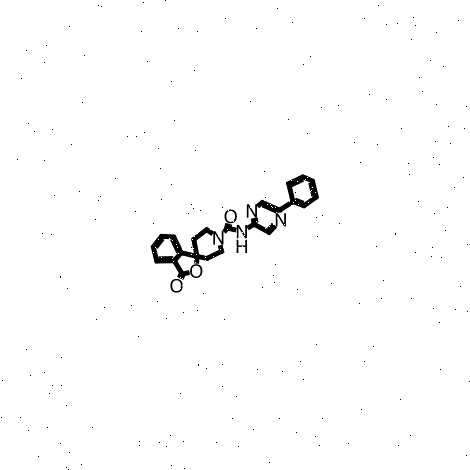 O=C1OC2(CCN(C(=O)Nc3cnc(-c4ccccc4)cn3)CC2)c2ccccc21